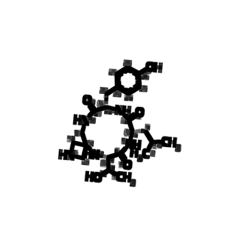 CC(C)C[C@@H]1NC(=O)[C@H]([C@@H](C)O)NC2(CNC2)CNC(=O)[C@H](Cc2ccc(O)cc2)NC1=O